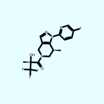 C[C@H]1CN(C(=O)[C@@](C)(O)C(F)(F)F)Cc2cnn(-c3ccc(F)cn3)c21